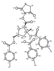 Cc1ccc(C(=O)OC[C@H]2O[C@@H](C(=O)ON3C(=O)CCC3=O)[C@](C)(OC(=O)c3ccc(C)cc3)[C@@H]2OC(=O)c2ccc(C)cc2)cc1